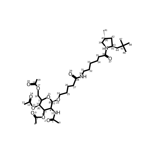 CC(=O)NC1C(OC(C)=O)[C@@H](OC(C)=O)C(COC(C)=O)O[C@H]1OCCCCC(=O)NCCCCCC(=O)N1C[C@H](C)C[C@H]1CC(C)(C)C